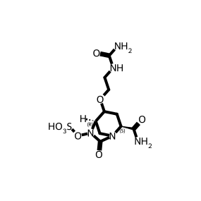 NC(=O)NCCOC1C[C@@H](C(N)=O)N2C[C@H]1N(OS(=O)(=O)O)C2=O